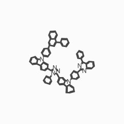 c1ccc(-c2cc(-c3ccc(-n4c5ccccc5c5ccc(-c6nnc(-c7ccc8c9ccccc9n(-c9ccc(-c%10nc(-c%11ccccc%11)c%11ccccc%11n%10)cc9)c8c7)n6-c6ccccc6)cc54)cc3)cc3ccccc23)cc1